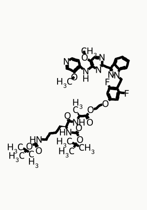 COc1cnccc1Nc1nc(-c2nn(Cc3c(F)cc(OCCOC(=O)[C@H](C)NC(=O)[C@H](CCCCNC(=O)OC(C)(C)C)NC(=O)OC(C)(C)C)cc3F)c3ccccc23)ncc1OC